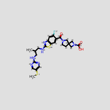 CSc1cnc(NCC(C)CNc2nc3cc(F)c(C(=O)N4CCC5(CN(C(=O)O)C5)C4)cc3s2)nc1